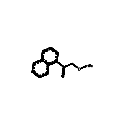 CCCCOCC(=O)c1cccc2ccccc12